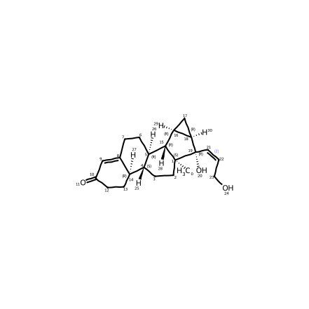 C[C@]12CC[C@H]3[C@@H](CCC4=CC(=O)CC[C@@H]43)[C@@H]1[C@H]1C[C@H]1[C@@]2(O)/C=C\CO